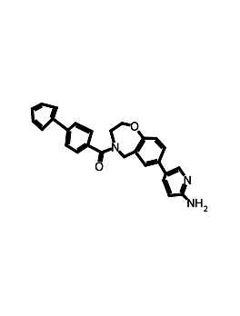 Nc1ccc(-c2ccc3c(c2)CN(C(=O)c2ccc(-c4ccccc4)cc2)CCO3)cn1